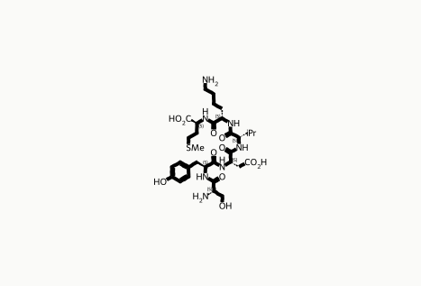 CSCC[C@H](NC(=O)[C@H](CCCCN)NC(=O)[C@@H](NC(=O)[C@H](CC(=O)O)NC(=O)[C@H](Cc1ccc(O)cc1)NC(=O)[C@@H](N)CO)C(C)C)C(=O)O